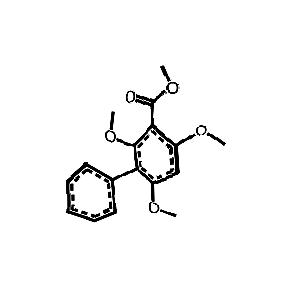 COC(=O)c1c(OC)cc(OC)c(-c2ccccc2)c1OC